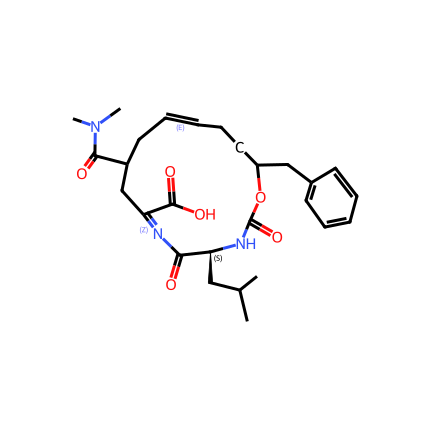 CC(C)C[C@@H]1NC(=O)OC(Cc2ccccc2)CC/C=C/CC(C(=O)N(C)C)C/C(C(=O)O)=N/C1=O